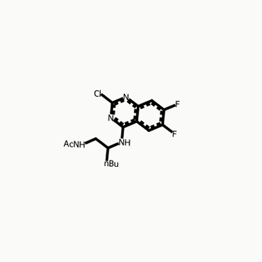 CCCCC(CNC(C)=O)Nc1nc(Cl)nc2cc(F)c(F)cc12